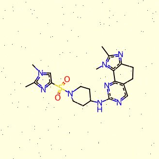 Cc1nc(S(=O)(=O)N2CCC(Nc3ncc4c(n3)-c3c(nc(C)n3C)CC4)CC2)cn1C